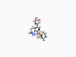 O=S(=O)(Nc1ccc(N2CCOCC2)c2cccnc12)c1ccccc1